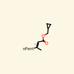 CCCCC/C(C)=C/C(=O)OCC1CC1